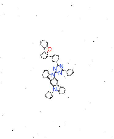 c1ccc(-c2nc(-c3cccc(-c4cccc5c4oc4ccccc45)c3)nc(-n3c4ccccc4c4cc5c(cc43)c3ccccc3n5-c3ccccc3)n2)cc1